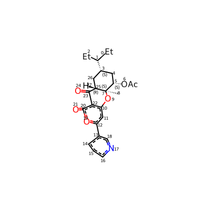 CCC(CC)[C@@H]1C[C@H](OC(C)=O)[C@@]2(C)Oc3cc(-c4cccnc4)oc(=O)c3C(=O)[C@@H]2C1